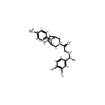 C[C@H](OCC(=O)N1CC2C[C@H](C)C(C1)N2c1ccc(C#N)cn1)c1ccc(F)c(F)c1